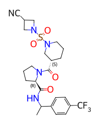 CC(NC(=O)[C@H]1CCCN1C(=O)[C@H]1CCCN(S(=O)(=O)N2CC(C#N)C2)C1)c1ccc(C(F)(F)F)cc1